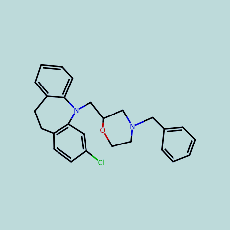 Clc1ccc2c(c1)N(CC1CN(Cc3ccccc3)CCO1)c1ccccc1CC2